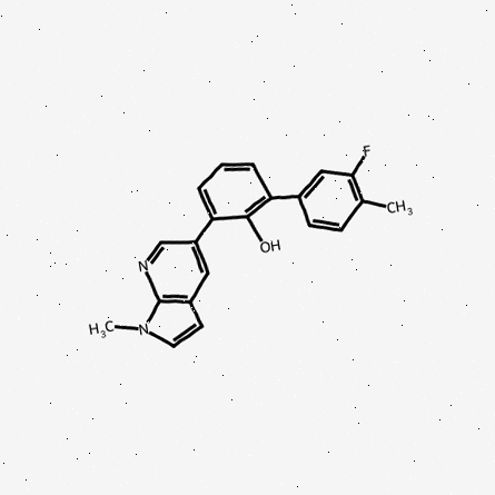 Cc1ccc(-c2cccc(-c3cnc4c(ccn4C)c3)c2O)cc1F